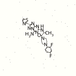 C[C@H](Nc1nc(N)n2nc(-c3nccs3)nc2n1)C(=O)N1CCN(c2ccc(F)cc2F)CC1